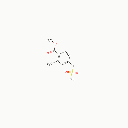 COC(=O)c1ccc(CS(C)(=O)=O)cc1C